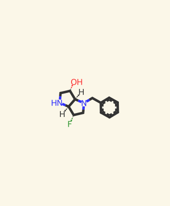 O[C@H]1CN[C@H]2[C@@H]1N(Cc1ccccc1)C[C@@H]2F